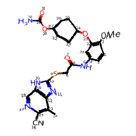 COc1ccc(NC(=O)CSc2nc3c(C)c(C#N)ncc3[nH]2)cc1OC1CCC(OC(N)=O)CC1